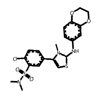 CN1C(c2ccc(Cl)c(S(=O)(=O)N(C)C)c2)=CSC1Nc1ccc2c(c1)OCCO2